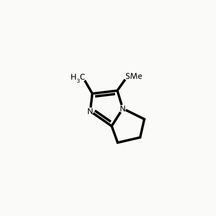 CSc1c(C)nc2n1CCC2